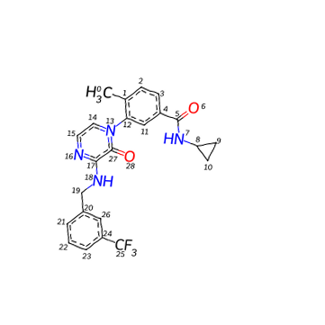 Cc1ccc(C(=O)NC2CC2)cc1-n1ccnc(NCc2cccc(C(F)(F)F)c2)c1=O